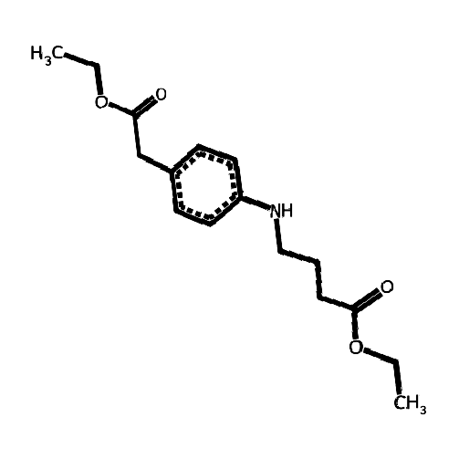 CCOC(=O)CCCNc1ccc(CC(=O)OCC)cc1